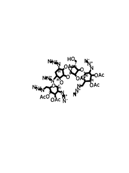 CC(=O)OC1C(O[C@H]2OC(CN=[N+]=[N-])[C@@H](OC(C)=O)C(OC(C)=O)C2N=[N+]=[N-])[C@@H](CO)O[C@H]1OC1C(OC(C)=O)[C@H](N=[N+]=[N-])CC(N=[N+]=[N-])[C@H]1O[C@H]1OC(CN=[N+]=[N-])[C@@H](OC(C)=O)C(OC(C)=O)C1N=[N+]=[N-]